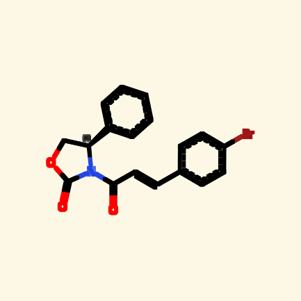 O=C(C=Cc1ccc(Br)cc1)N1C(=O)OC[C@H]1c1ccccc1